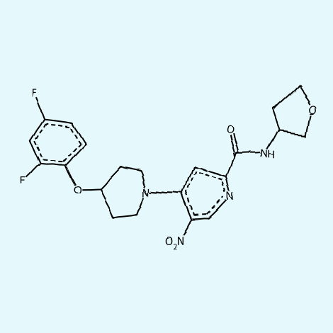 O=C(NC1CCOC1)c1cc(N2CCC(Oc3ccc(F)cc3F)CC2)c([N+](=O)[O-])cn1